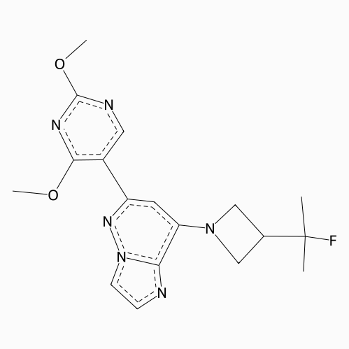 COc1ncc(-c2cc(N3CC(C(C)(C)F)C3)c3nccn3n2)c(OC)n1